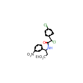 CCOC(=O)CC(NC(=O)C(Cl)c1ccc(Cl)cc1)c1cccc([N+](=O)[O-])c1